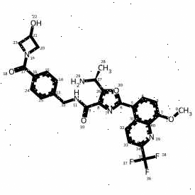 COc1ccc(-c2nc(C(=O)NCc3ccc(C(=O)N4CC(O)C4)cc3)c([C@H](C)N)o2)c2ccc(C(F)(F)F)nc12